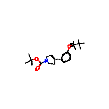 CC(C)(C)OC(=O)N1CC=C(c2cccc(O[Si](C)(C)C(C)(C)C)c2)CC1